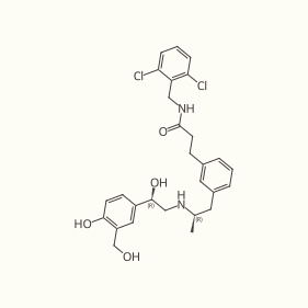 C[C@H](Cc1cccc(CCC(=O)NCc2c(Cl)cccc2Cl)c1)NC[C@H](O)c1ccc(O)c(CO)c1